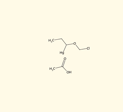 CC(=O)O.CC[CH]([Hg])OCCl